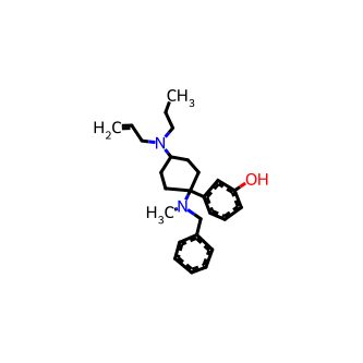 C=CCN(CCC)C1CCC(c2cccc(O)c2)(N(C)Cc2ccccc2)CC1